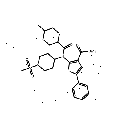 COC(=O)c1cc(-c2ccccc2)sc1N(C(=O)C1CCC(C)CC1)C1CCN(S(C)(=O)=O)CC1